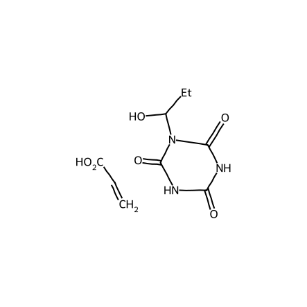 C=CC(=O)O.CCC(O)n1c(=O)[nH]c(=O)[nH]c1=O